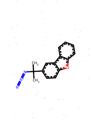 CC(C)(N=[N+]=[N-])c1ccc2oc3ccccc3c2c1